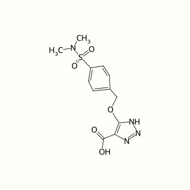 CN(C)S(=O)(=O)c1ccc(COc2[nH]nnc2C(=O)O)cc1